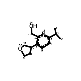 CC(C)c1ccc(C2CCOC2)c(CO)n1